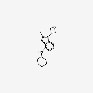 Ic1cc2c(NC3CCCCC3)cccc2n1C1COC1